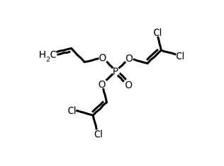 C=CCOP(=O)(OC=C(Cl)Cl)OC=C(Cl)Cl